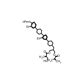 C=C(C)C(=O)OCC(COC(=O)C(=C)CO)CC1CCC(c2ccc(C3CCC(c4ccc(CCCCC)c(CC)c4)CC3)c(CC)c2)CC1